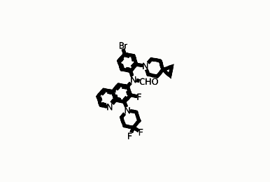 O=CN(c1ccc(Br)cc1N1CCC2(CC1)CC2)c1cc2cccnc2c(N2CCC(F)(F)CC2)c1F